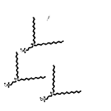 CCCCCCCCCCCC[N+](C)(CCCCCCCCCCCC)CCC[Si](C)(C)OC.CCCCCCCCCCCC[N+](C)(CCCCCCCCCCCC)CCC[Si](C)(C)OC.CCCCCCCCCCCC[N+](C)(CCCCCCCCCCCC)CCC[Si](C)(C)OC.[I-].[I-].[I-]